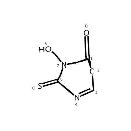 O=C1CC=NC(=S)N1O